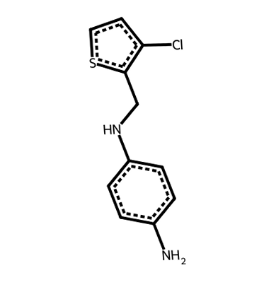 Nc1ccc(NCc2sccc2Cl)cc1